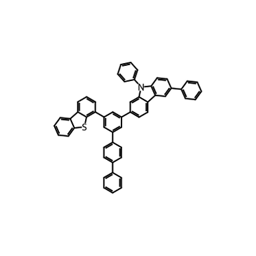 c1ccc(-c2ccc(-c3cc(-c4ccc5c6cc(-c7ccccc7)ccc6n(-c6ccccc6)c5c4)cc(-c4cccc5c4sc4ccccc45)c3)cc2)cc1